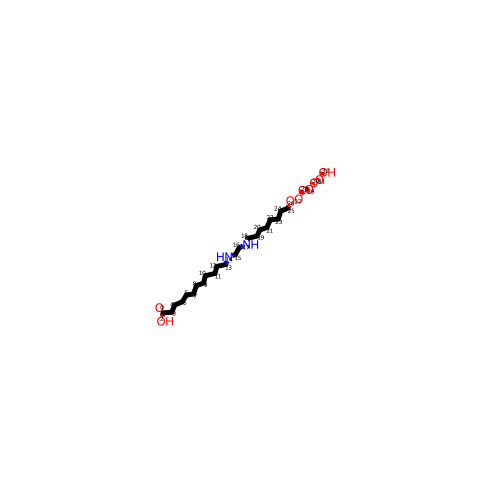 O=C(O)CCCCCCCCCCCNCCNCCCCCCCCOOOOOOO